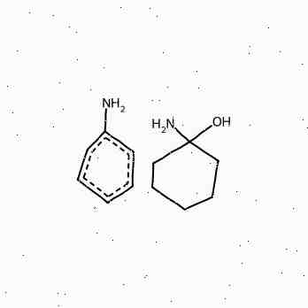 NC1(O)CCCCC1.Nc1ccccc1